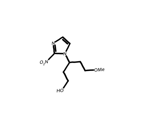 COCCC(CCO)n1ccnc1[N+](=O)[O-]